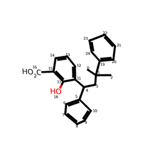 CC(C)(CC(c1ccccc1)c1cccc(C(=O)O)c1O)c1ccccc1